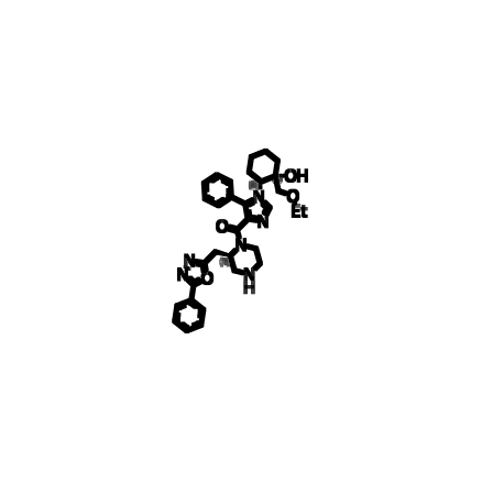 CCOC[C@]1(O)CCCC[C@H]1n1cnc(C(=O)N2CCNC[C@H]2Cc2nnc(-c3ccccc3)o2)c1-c1ccccc1